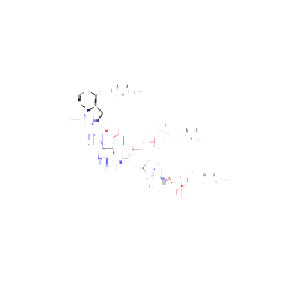 COC(=O)OOCC(=O)[C@H](C[C@@H]1CCN([C@@H](C)OC(=O)OC)C1=O)NC(=O)[C@H](CC(C)C)NC(=O)c1cc2c(OC)cccc2[nH]1